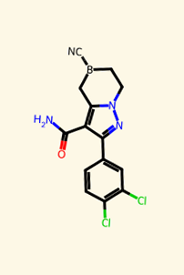 N#CB1CCn2nc(-c3ccc(Cl)c(Cl)c3)c(C(N)=O)c2C1